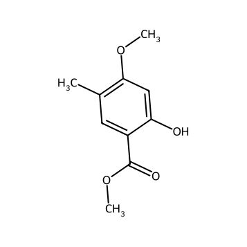 COC(=O)c1cc(C)c(OC)cc1O